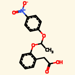 CC(Oc1ccc([N+](=O)[O-])cc1)Oc1ccccc1CC(=O)O